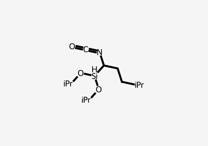 CC(C)CCC(N=C=O)[SiH](OC(C)C)OC(C)C